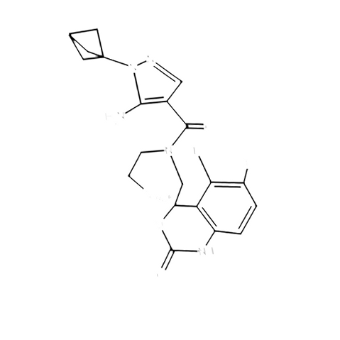 Nc1c(C(=O)N2CCC[C@@]3(C2)OC(=O)Nc2ccc(Cl)c(F)c23)cnn1C12CC(C1)C2